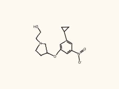 O=[N+]([O-])c1cc(OC2CCN(CCO)C2)cc(C2CC2)c1